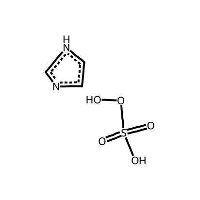 O=S(=O)(O)OO.c1c[nH]cn1